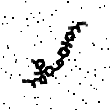 C=CC(=O)Nc1ccc(S(=O)(=O)c2ccc(N3CC(CN4CCC(C(C#N)(c5cccc(F)c5)[C@H]5CCC[C@@H]5OC(=O)NC)CC4)C3)cc2)cc1